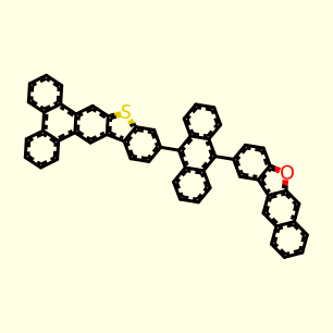 c1ccc2cc3c(cc2c1)oc1ccc(-c2c4ccccc4c(-c4ccc5c(c4)sc4cc6c7ccccc7c7ccccc7c6cc45)c4ccccc24)cc13